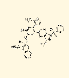 Cc1occc1-c1nc(N)c(OC[C@@](Cc2ccccc2)(NC(=O)O)C(C)(C)C)cc1-c1cnc2c(n1)c(C)nn2S(=O)(=O)c1ccccc1